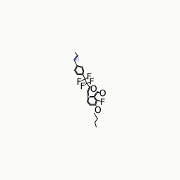 C/C=C/c1ccc(C(F)(F)C(F)(F)c2cc3ccc(OCCCC)c(F)c3c(=O)o2)cc1